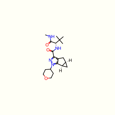 CNC(=O)[C@@H](NC(=O)c1nn(C2CCOCC2)c2c1C[C@H]1C[C@@H]21)C(C)(C)C